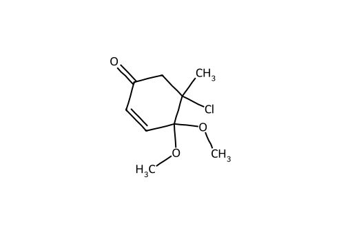 COC1(OC)C=CC(=O)CC1(C)Cl